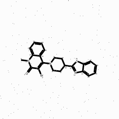 Cn1c(=O)c(Br)c(N2CCC(c3nc4ccccc4s3)CC2)c2ccccc21